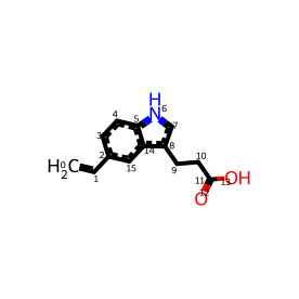 C=Cc1ccc2[nH]cc(CCC(=O)O)c2c1